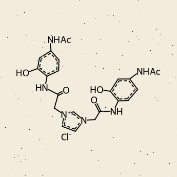 CC(=O)Nc1ccc(NC(=O)Cn2cc[n+](CC(=O)Nc3ccc(NC(C)=O)cc3O)c2)c(O)c1.[Cl-]